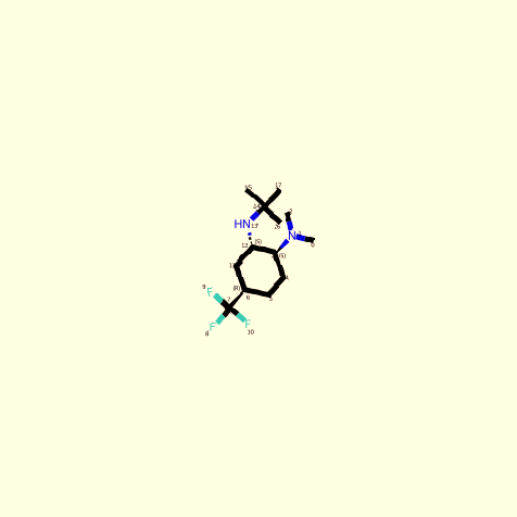 CN(C)[C@H]1CC[C@@H](C(F)(F)F)C[C@@H]1NC(C)(C)C